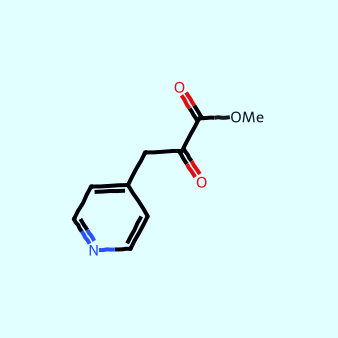 COC(=O)C(=O)Cc1ccncc1